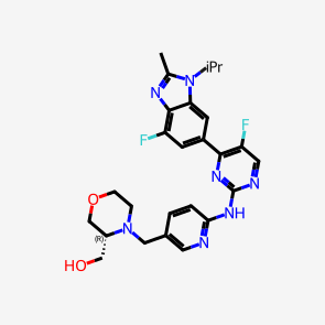 Cc1nc2c(F)cc(-c3nc(Nc4ccc(CN5CCOC[C@H]5CO)cn4)ncc3F)cc2n1C(C)C